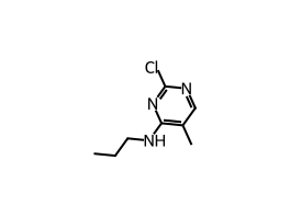 CCCNc1nc(Cl)ncc1C